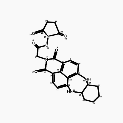 O=C(CN1C(=O)c2ccc3c4c(ccc(c24)C1=O)NC1CCCCC1N3)ON1C(=O)CCC1=O